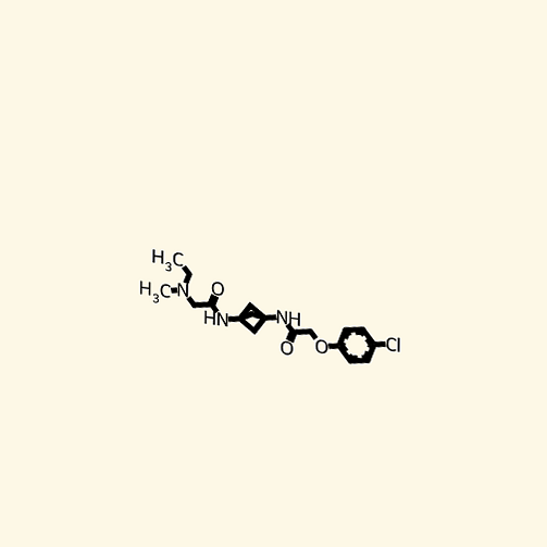 CCN(C)CC(=O)NC12CC(NC(=O)COc3ccc(Cl)cc3)(C1)C2